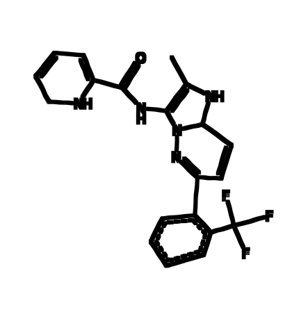 CC1=C(NC(=O)C2=CC=CCN2)N2N=C(c3ccccc3C(F)(F)F)C=CC2N1